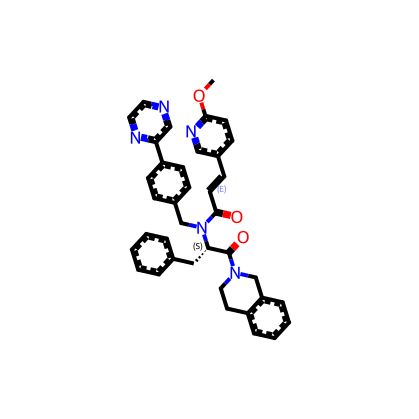 COc1ccc(/C=C/C(=O)N(Cc2ccc(-c3cnccn3)cc2)[C@@H](Cc2ccccc2)C(=O)N2CCc3ccccc3C2)cn1